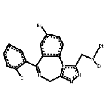 CCN(CC)Cc1nnc2n1-c1ccc(Br)cc1C(c1ccccc1Cl)=NC2